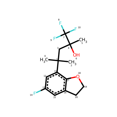 CC(C)(CC(C)(O)C(F)(F)F)c1cc(F)cc2c1OCC2